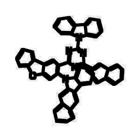 c1ccc2cc(-c3nc(-c4cc5c(cc4-n4c6ccccc6c6cc7ccccc7cc64)oc4ccccc45)nc(-n4c5ccccc5c5ccccc54)n3)ccc2c1